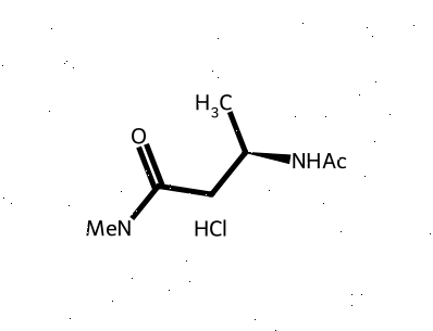 CNC(=O)C[C@@H](C)NC(C)=O.Cl